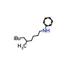 CCC(C)CC(C)CCCCNc1ccccc1